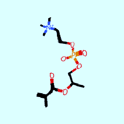 C=C(C)C(=O)OC(C)COP(=O)([O-])OCC[N+](C)(C)C